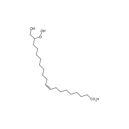 O=C(O)CCCCCCC/C=C\CCCCCCCCC(CO)OO